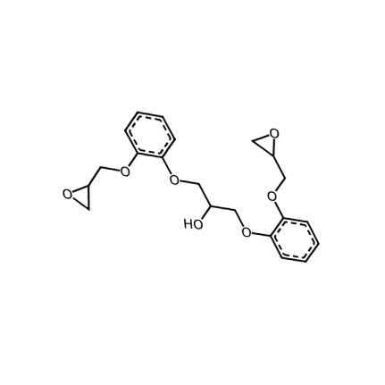 OC(COc1ccccc1OCC1CO1)COc1ccccc1OCC1CO1